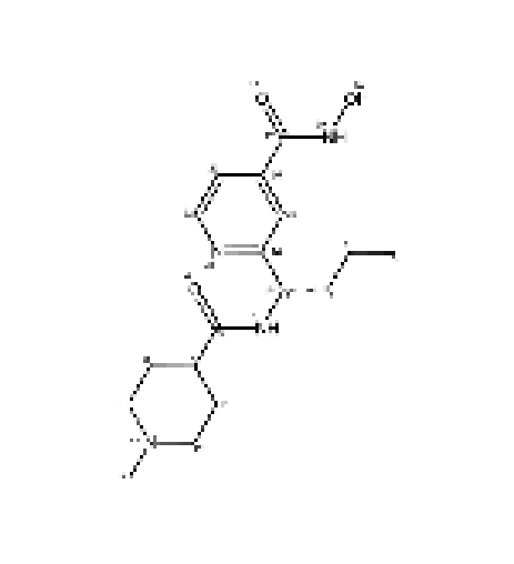 CCC[C@H](NC(=O)C1CCN(C)CC1)c1cc(C(=O)NO)ccn1